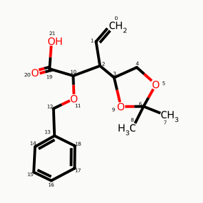 C=CC(C1COC(C)(C)O1)C(OCc1ccccc1)C(=O)O